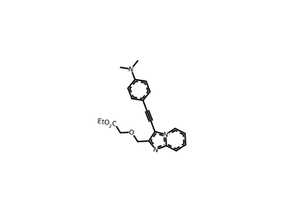 CCOC(=O)COCc1nc2ccccn2c1C#Cc1ccc(N(C)C)cc1